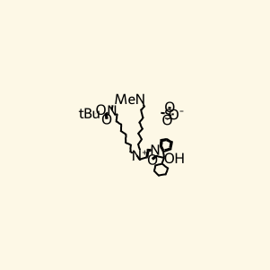 CNCCCCCCCCC[N+](C)(CCCCCCCCN(C)C(=O)OC(C)(C)C)Cc1cnc([C@](O)(c2ccccc2)C2CCCCC2)o1.CS(=O)(=O)[O-]